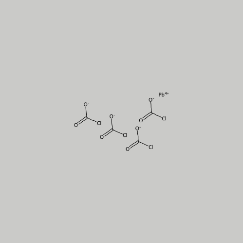 O=C([O-])Cl.O=C([O-])Cl.O=C([O-])Cl.O=C([O-])Cl.[Pb+4]